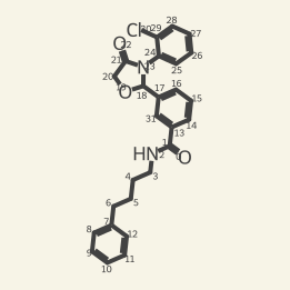 O=C(NCCCCc1ccccc1)c1cccc(C2OCC(=O)N2c2ccccc2Cl)c1